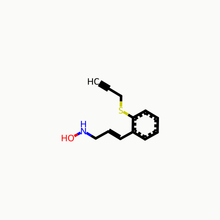 C#CCSc1ccccc1C=CCNO